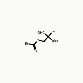 CCCCC([C]=O)(CC)COC(=O)CC